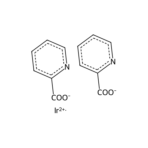 O=C([O-])c1ccccn1.O=C([O-])c1ccccn1.[Ir+2]